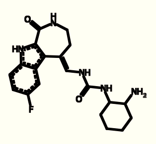 NC1CCCCC1NC(=O)NC=C1CCNC(=O)c2[nH]c3ccc(F)cc3c21